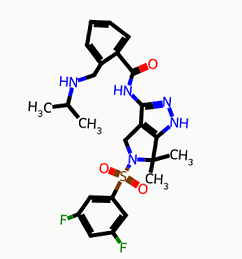 CC(C)NCc1ccccc1C(=O)Nc1n[nH]c2c1CN(S(=O)(=O)c1cc(F)cc(F)c1)C2(C)C